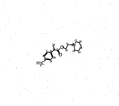 Cc1ccc(C(I)C(=O)OCCN2CCSCC2)cc1